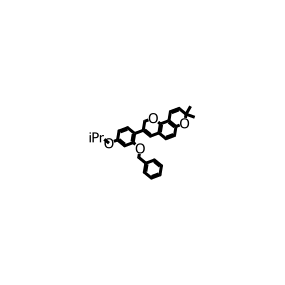 CC(C)Oc1ccc(C2=Cc3ccc4c(c3OC2)C=CC(C)(C)O4)c(OCc2ccccc2)c1